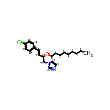 CCCCCCCCCOC(C=Cc1ccc(Cl)cc1)Cn1ccnc1